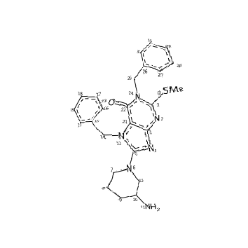 CSc1nc2nc(N3CCCC(N)C3)n(Cc3ccccc3)c2c(=O)n1Cc1ccccc1